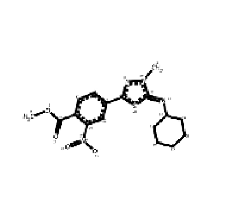 COC(=O)c1ccc(-c2nn(C)c(=NC3CCCCC3)s2)cc1[N+](=O)[O-]